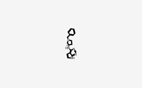 c1ccc(CN2CC[C@@H](Nc3ncnc4[nH]ccc34)C2)cc1